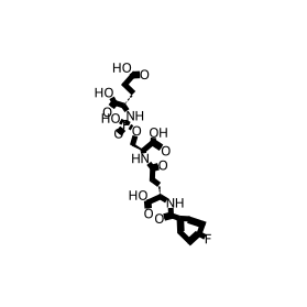 O=C(O)CC[C@H](NP(=O)(O)OC[C@H](NC(=O)CC[C@H](NC(=O)c1ccc(F)cc1)C(=O)O)C(=O)O)C(=O)O